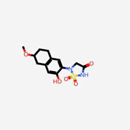 COC1CCc2cc(N3CC(=O)NS3(=O)=O)c(O)cc2C1